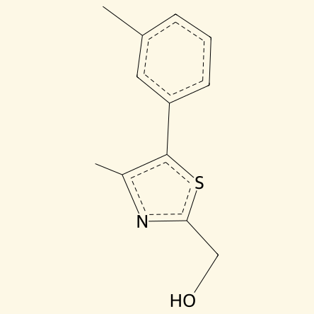 Cc1cccc(-c2sc(CO)nc2C)c1